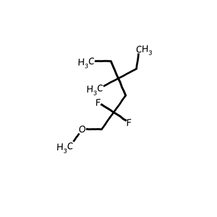 CCC(C)(CC)CC(F)(F)COC